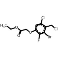 CCOC(=O)COc1cc(Cl)c(CCl)c(Br)c1F